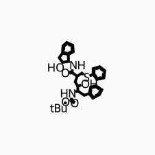 CC(C)(C)OC(=O)NC(Cc1ccccc1)C(O)CC(CSc1ccccc1)C(=O)N[C@H]1c2ccccc2C[C@@H]1O